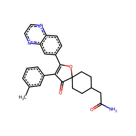 Cc1cccc(C2=C(c3ccc4nccnc4c3)OC3(CCC(CC(N)=O)CC3)C2=O)c1